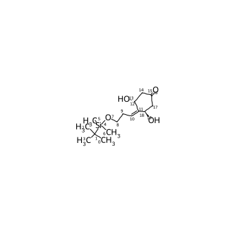 CC(C)(C)[Si](C)(C)OCCC=C1[C@H](O)CC(=O)C[C@H]1O